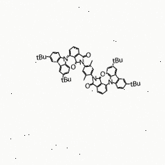 Cc1cc(N2C(=O)c3cccc(-n4c5ccc(C(C)(C)C)cc5c5cc(C(C)(C)C)ccc54)c3C2=O)c(C)cc1N1C(=O)c2cccc(-n3c4ccc(C(C)(C)C)cc4c4cc(C(C)(C)C)ccc43)c2C1=O